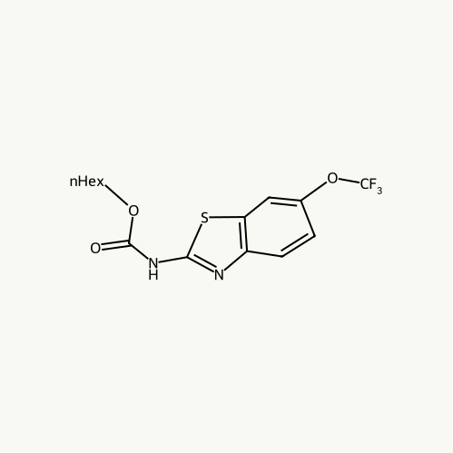 CCCCCCOC(=O)Nc1nc2ccc(OC(F)(F)F)cc2s1